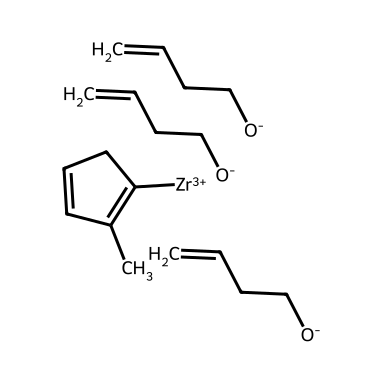 C=CCC[O-].C=CCC[O-].C=CCC[O-].CC1=[C]([Zr+3])CC=C1